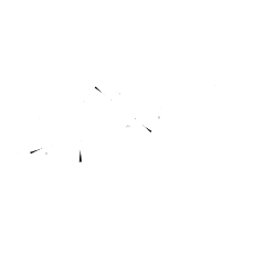 CCC(=O)O[C@]1(C(C)=O)CC[C@H]2[C@@H]3C=C(F)C4=CC(=O)C5CC5[C@@]4(C)[C@@H]3CC[C@@]21C